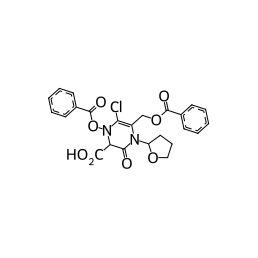 O=C(OCC1=C(Cl)N(OC(=O)c2ccccc2)C(C(=O)O)C(=O)N1C1CCCO1)c1ccccc1